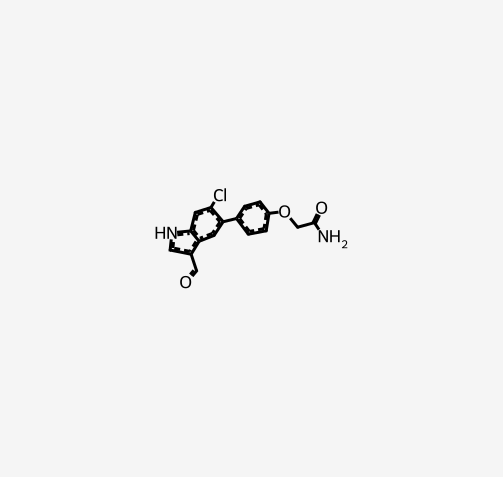 NC(=O)COc1ccc(-c2cc3c(C=O)c[nH]c3cc2Cl)cc1